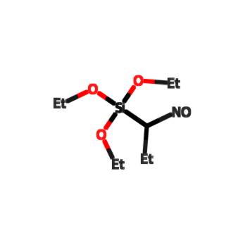 CCO[Si](OCC)(OCC)C(CC)N=O